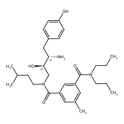 CCCN(CCC)C(=O)c1cc(C)cc(C(=O)N(CCC(C)C)C[C@@H](O)[C@@H](N)Cc2ccc(O)cc2)c1